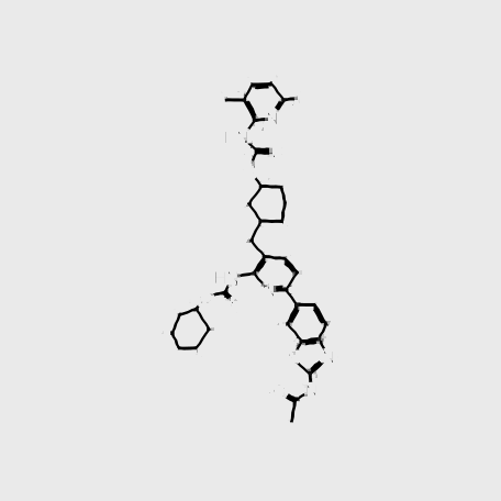 CC(=O)Nc1nc2ccc(-c3ccc(CC4CCCC(OC(=O)Nc5nc(Cl)ccc5C)C4)c(NC(=O)OC4CCCCC4)n3)cc2s1